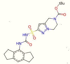 CC(C)(C)OC(=O)N1CCn2nc(S(=O)(=O)NC(=O)Nc3c4c(cc5c3CCC5)CCC4)cc2C1